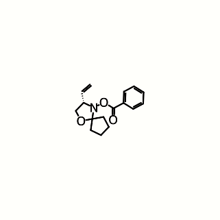 C=C[C@H]1COC2(CCCC2)N1OC(=O)c1ccccc1